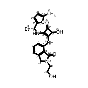 CC[C@@H](NC1=C(Nc2cccc3c2C(=O)N(CCO)C3)C(O)C1=O)c1ccc(C)o1